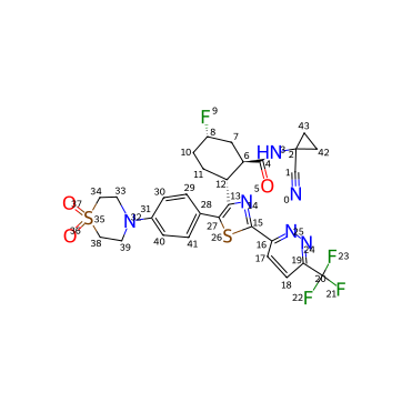 N#CC1(NC(=O)[C@@H]2C[C@@H](F)CC[C@H]2c2nc(-c3ccc(C(F)(F)F)nn3)sc2-c2ccc(N3CCS(=O)(=O)CC3)cc2)CC1